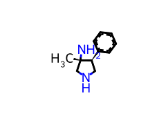 C[C@]1(N)CNC[C@@H]1c1ccccc1